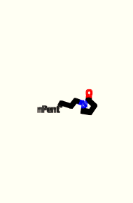 CCCCCCCCN1C=CCC1=O